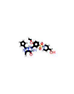 CCOc1ccc(S(=O)(=O)N2CCC(CO)CC2)cc1-c1nn2c(C3CCCC3)nc(C)c2c(=O)[nH]1